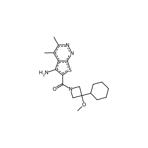 COC1(C2CCCCC2)CN(C(=O)c2sc3nnc(C)c(C)c3c2N)C1